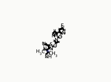 CN/C(=C(/C)C=N)c1nc(OC2CN(C(=O)N3N=CC[C@H]3c3cncc(F)c3)C2)sc1C#N